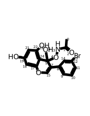 CC(=O)NOC1(O)C(c2cccc(Br)c2)=COc2cc(O)cc(O)c21